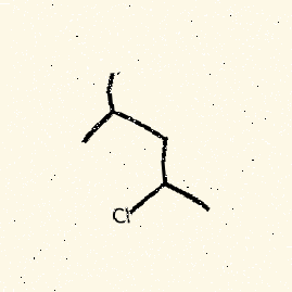 [CH2]C(C)CC(C)Cl